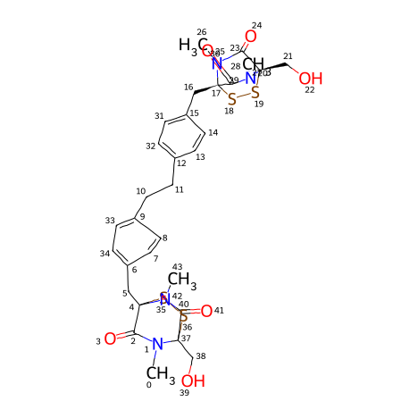 CN1C(=O)C2(Cc3ccc(CCc4ccc(C[C@@]56SS[C@@](CO)(C(=O)N5C)N(C)C6=O)cc4)cc3)SSC1(CO)C(=O)N2C